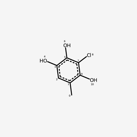 Cc1cc(O)c(O)c(Cl)c1O